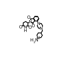 NN1CCC(CN2CCN(c3cccc4c3C(=O)N(C3CCC(=O)NC3=O)C4=O)CC2)CC1